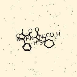 Cc1onc(-c2ccccc2)c1C(=O)NC1C(=O)N2C(C(=O)O)C3(CCCCCC3)S[C@@H]12